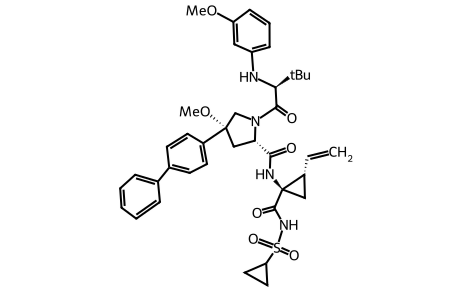 C=C[C@@H]1C[C@]1(NC(=O)[C@@H]1C[C@@](OC)(c2ccc(-c3ccccc3)cc2)CN1C(=O)[C@@H](Nc1cccc(OC)c1)C(C)(C)C)C(=O)NS(=O)(=O)C1CC1